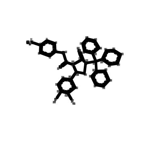 O=C(Oc1ccc([N+](=O)[O-])cc1)N1C(=O)N(C(c2ccccc2)(c2ccccc2)c2ccccc2)CC1c1ccc(F)c(F)c1